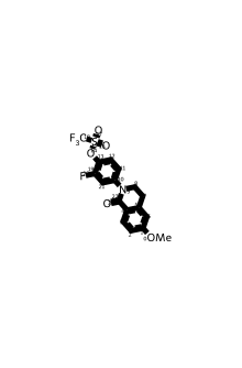 COc1ccc2c(c1)CCN(c1ccc(OS(=O)(=O)C(F)(F)F)c(F)c1)C2=O